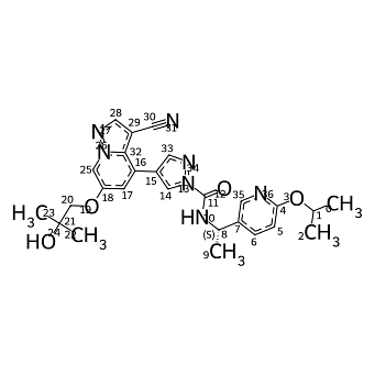 CC(C)Oc1ccc([C@H](C)NC(=O)n2cc(-c3cc(OCC(C)(C)O)cn4ncc(C#N)c34)cn2)cn1